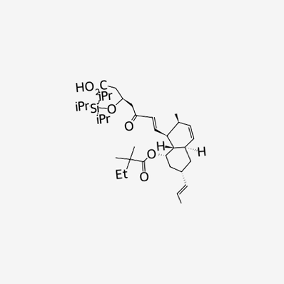 C/C=C/[C@@H]1C[C@H](OC(=O)C(C)(C)CC)[C@@H]2[C@@H](C=CC(=O)C[C@H](CC(=O)O)O[Si](C(C)C)(C(C)C)C(C)C)[C@@H](C)C=C[C@H]2C1